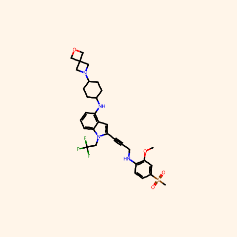 COc1cc(S(C)(=O)=O)ccc1NCC#Cc1cc2c(NC3CCC(N4CC5(COC5)C4)CC3)cccc2n1CC(F)(F)F